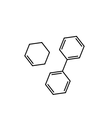 C1=CCCCC1.c1ccc(-c2ccccc2)cc1